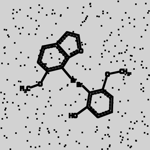 COc1ccc2ccoc2c1Br.COc1cccc(O)c1Br